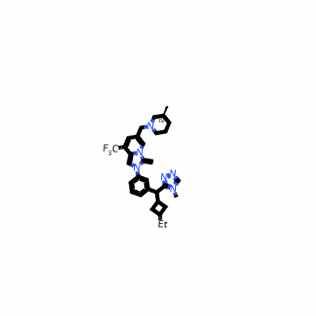 C=C1N2C=C(CN3CCC[C@H](C)C3)C=C(C(F)(F)F)C2=CN1c1cccc(C(c2nncn2C)C2CC(CC)C2)c1